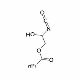 CCCC(=O)OCC(O)N=C=O